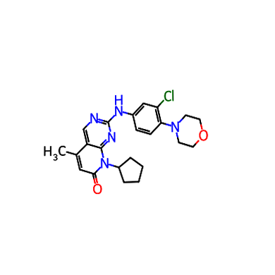 Cc1cc(=O)n(C2CCCC2)c2nc(Nc3ccc(N4CCOCC4)c(Cl)c3)ncc12